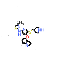 Cc1csc(Nc2cc(Oc3cccc4ncccc34)c(SCC3CCNCC3)cn2)n1